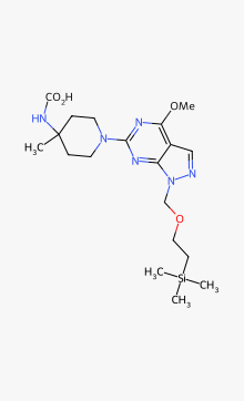 COc1nc(N2CCC(C)(NC(=O)O)CC2)nc2c1cnn2COCC[Si](C)(C)C